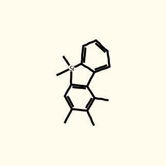 Cc1cc2c(c(C)c1C)-c1ccccc1[Si]2(C)C